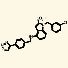 O=C(O)c1cc2c(NCc3ccc(-c4csnn4)cc3)cccc2n1Cc1cccc(Cl)c1